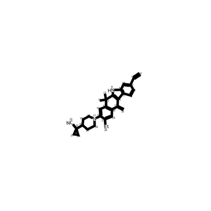 C#Cc1ccc2c3c([nH]c2c1)C(C)(C)c1cc(N2CCC(C4(C#N)CC4)CC2)c(CC)cc1C3=C